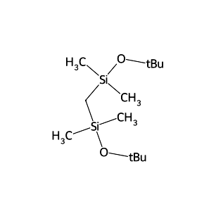 CC(C)(C)O[Si](C)(C)C[Si](C)(C)OC(C)(C)C